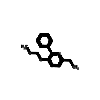 CCc1ccc(OCOC)c(-c2ccccc2)n1